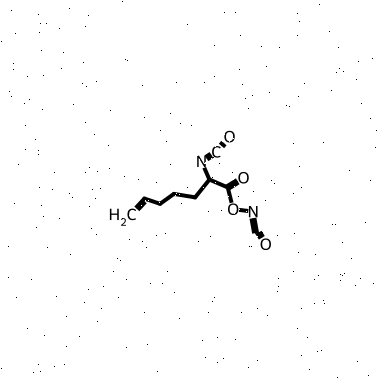 C=CCCCC(N=C=O)C(=O)ON=C=O